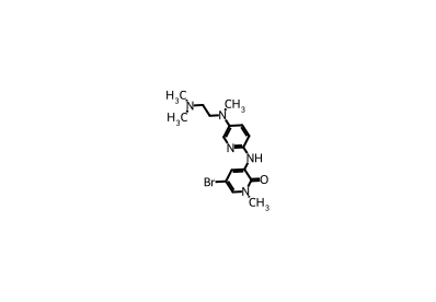 CN(C)CCN(C)c1ccc(Nc2cc(Br)cn(C)c2=O)nc1